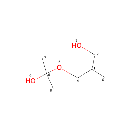 CC(CO)COC(C)(C)O